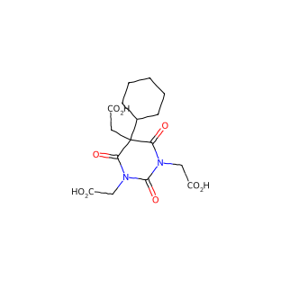 O=C(O)CN1C(=O)N(CC(=O)O)C(=O)C(CC(=O)O)(C2CCCCC2)C1=O